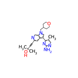 Cc1cnc(N)nc1-c1cn(CC2CCOCC2)c2cnc(C#CC(C)(C)O)cc12